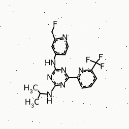 CC(C)Nc1nc(Nc2ccnc(CF)c2)nc(-c2cccc(C(F)(F)F)n2)n1